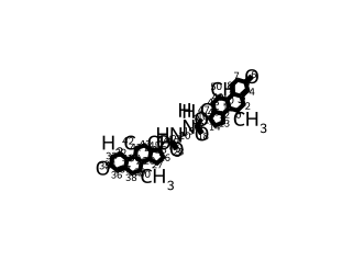 C[C@@H]1CC2=CC(=O)CCC2C2C1C1CC[C@H](OC(=O)NCNC(=O)O[C@H]3CCC4C5C(C6CCC(=O)C=C6C[C@H]5C)[C@@H](C)C[C@@]43C)[C@@]1(C)C[C@@H]2C